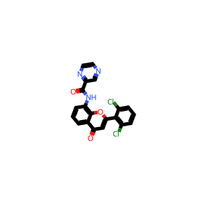 O=C(Nc1cccc2c(=O)cc(-c3c(Cl)cccc3Cl)oc12)c1cnccn1